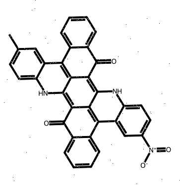 Cc1ccc2[nH]c3c4c(=O)c5ccccc5c5c6cc([N+](=O)[O-])ccc6[nH]c(c6c(=O)c7ccccc7c(c2c1)c36)c45